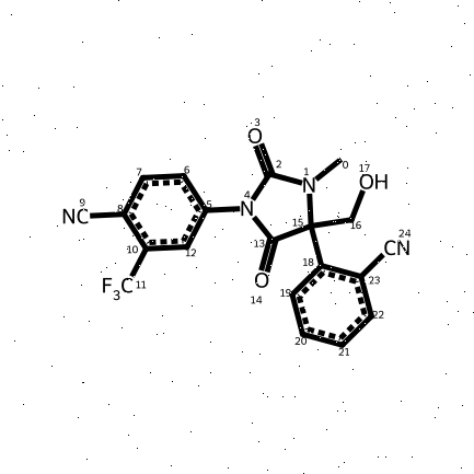 CN1C(=O)N(c2ccc(C#N)c(C(F)(F)F)c2)C(=O)C1(CO)c1ccccc1C#N